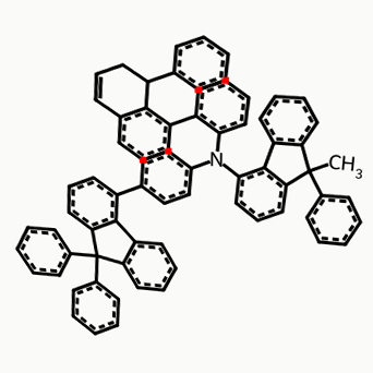 CC1(c2ccccc2)c2ccccc2-c2c(N(c3ccc(-c4cccc5c4-c4ccccc4C5(c4ccccc4)c4ccccc4)cc3)c3ccccc3-c3cccc4c3C(c3ccccc3)CC=C4)cccc21